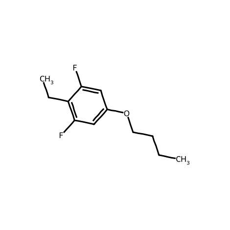 CCCCOc1cc(F)c(CC)c(F)c1